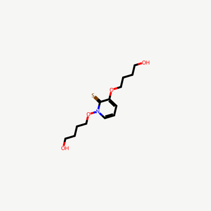 OCCCCOc1cccn(OCCCCO)c1=S